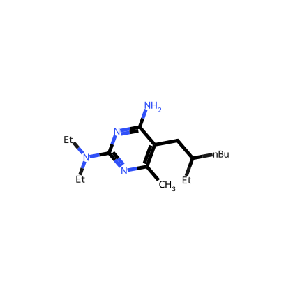 CCCCC(CC)Cc1c(C)nc(N(CC)CC)nc1N